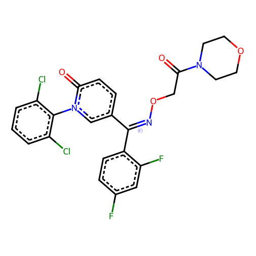 O=C(CO/N=C(\c1ccc(=O)n(-c2c(Cl)cccc2Cl)c1)c1ccc(F)cc1F)N1CCOCC1